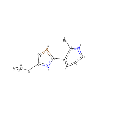 CCc1ncccc1-c1nc(CC(=O)O)cs1